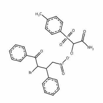 Cc1ccc(S(=O)(=O)C(Cl)C(N)=O)cc1.O=C(c1ccccc1)C(Br)C(C[N+](=O)[O-])c1ccccc1